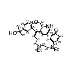 CCN(CC/C=C1\C2=CC=CNC2COc2ccc(C(C)(C)O)cc21)CCN(CC)c1ccc(Cl)cc1